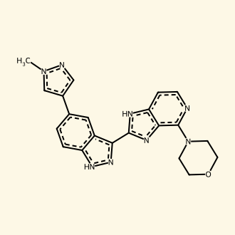 Cn1cc(-c2ccc3[nH]nc(-c4nc5c(N6CCOCC6)nccc5[nH]4)c3c2)cn1